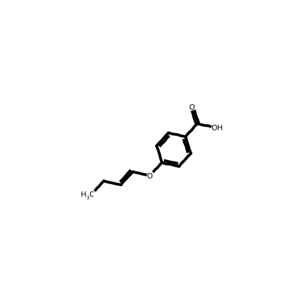 CCC=COc1ccc(C(=O)O)cc1